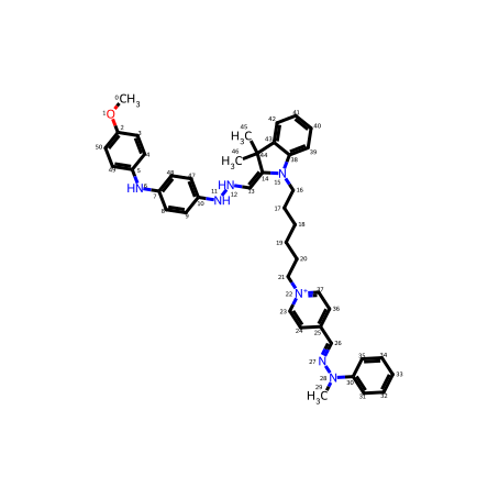 COc1ccc(Nc2ccc(NN/C=C3/N(CCCCCC[n+]4ccc(/C=N/N(C)c5ccccc5)cc4)c4ccccc4C3(C)C)cc2)cc1